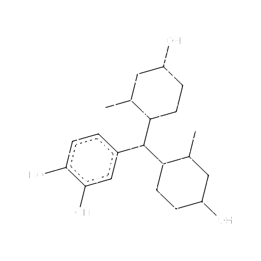 CC1CC(O)CCC1C(c1ccc(O)c(O)c1)C1CCC(O)CC1C